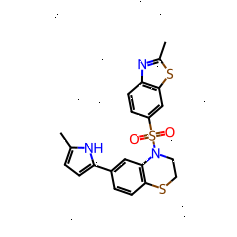 Cc1ccc(-c2ccc3c(c2)N(S(=O)(=O)c2ccc4nc(C)sc4c2)CCS3)[nH]1